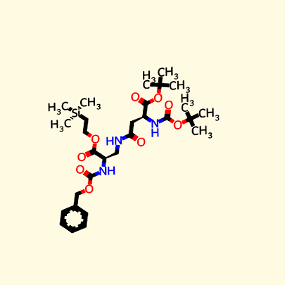 CC(C)(C)OC(=O)N[C@@H](CC(=O)NC[C@@H](NC(=O)OCc1ccccc1)C(=O)OCC[Si](C)(C)C)C(=O)OC(C)(C)C